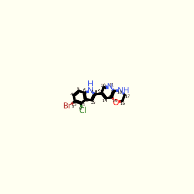 Clc1c(Br)ccc2[nH]c(-c3cnc4c(c3)OCCN4)cc12